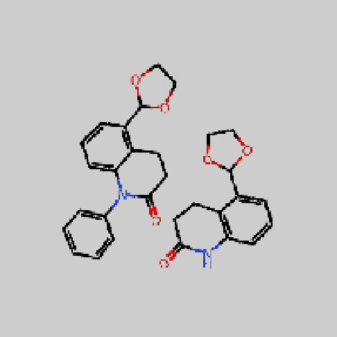 O=C1CCc2c(C3OCCO3)cccc2N1c1ccccc1.O=C1CCc2c(cccc2C2OCCO2)N1